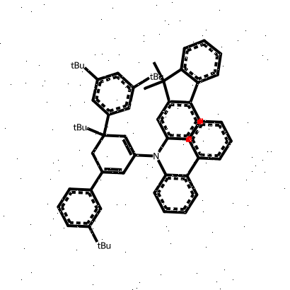 CC(C)(C)c1cccc(C2=CC(N(c3ccc4c(c3)C(C)(C)c3ccccc3-4)c3ccccc3-c3ccccc3)=CC(c3cc(C(C)(C)C)cc(C(C)(C)C)c3)(C(C)(C)C)C2)c1